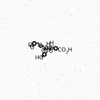 O=C(Nc1ccc(C(=O)O)cc1)N[C@@H](Cc1ccc(O)cc1)C(=O)NC1CCN(Cc2ccc3c(c2)OCO3)C1